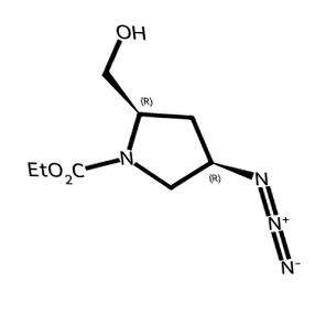 CCOC(=O)N1C[C@H](N=[N+]=[N-])C[C@@H]1CO